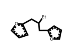 CCC(Cc1ccco1)Cc1ccco1